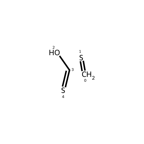 C=S.OC=S